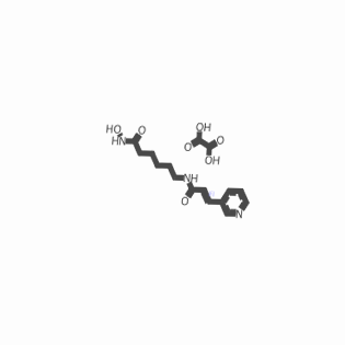 O=C(/C=C/c1cccnc1)NCCCCCC(=O)NO.O=C(O)C(=O)O